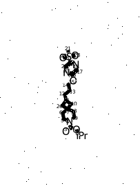 CC(C)OC(=O)N1CCC2(CC1)CC(CCCOc1cnc(S(C)(=O)=O)cn1)C2